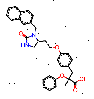 CC(Cc1ccc(OCCC2CNC(=O)N2Cc2ccc3ccccc3c2)cc1)(Oc1ccccc1)C(=O)O